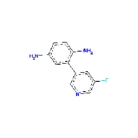 Nc1ccc(N)c(-c2cncc(F)c2)c1